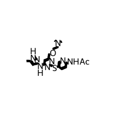 CC(=O)Nc1ccc(Sc2nc(COCCN(C)C)cc(Nc3cc(C)[nH]n3)n2)cn1